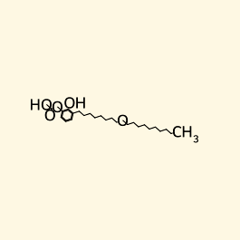 CCCCCCCCCCOCCCCCCCCc1cccc(OC(=O)O)c1O